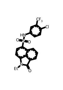 CCN1C(=O)c2cccc3c(S(=O)(=O)Nc4ccc(Cl)c(C(F)(F)F)c4)ccc1c23